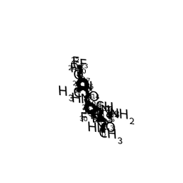 CNC(=O)[C@]12C[C@H]1[C@@](C)(c1cc(NC(=O)c3ncc(OCC(F)(F)F)cc3C)cc(F)c1F)N=C(N)S2